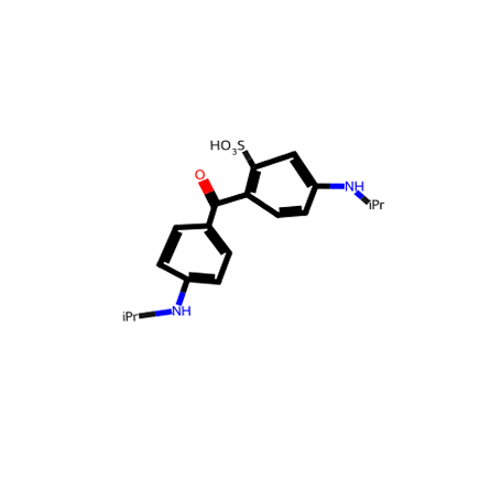 CC(C)Nc1ccc(C(=O)c2ccc(NC(C)C)cc2S(=O)(=O)O)cc1